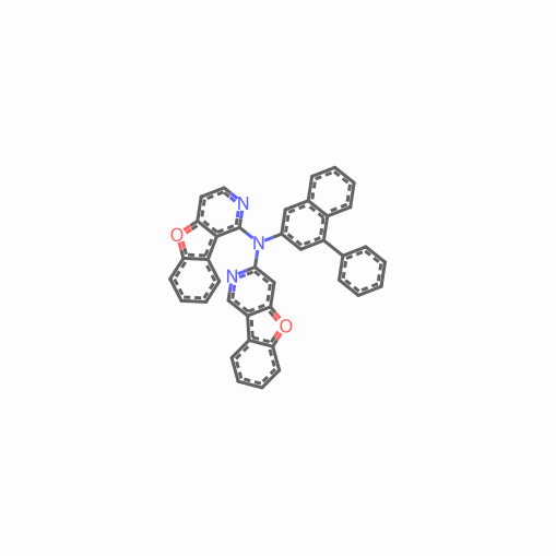 c1ccc(-c2cc(N(c3cc4oc5ccccc5c4cn3)c3nccc4oc5ccccc5c34)cc3ccccc23)cc1